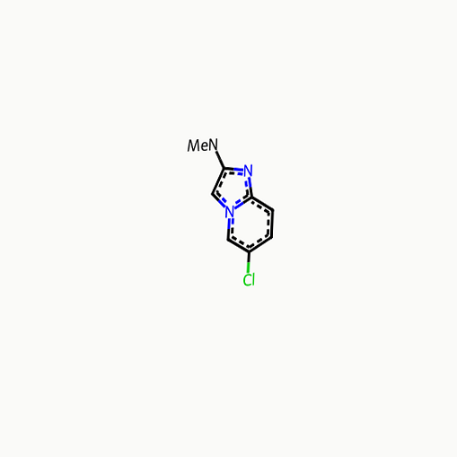 CNc1cn2cc(Cl)ccc2n1